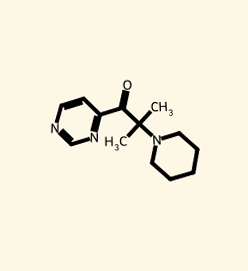 CC(C)(C(=O)c1ccncn1)N1CCCCC1